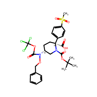 CC(C)(C)OC(=O)N1C[C@H](N(OCc2ccccc2)C(=O)OC(Cl)(Cl)Cl)CC[C@@]1(C(=O)O)c1ccc(S(C)(=O)=O)cc1